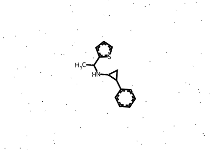 CC(NC1CC1c1ccccc1)c1cccs1